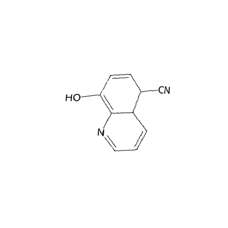 N#CC1C=CC(O)=C2N=CC=CC21